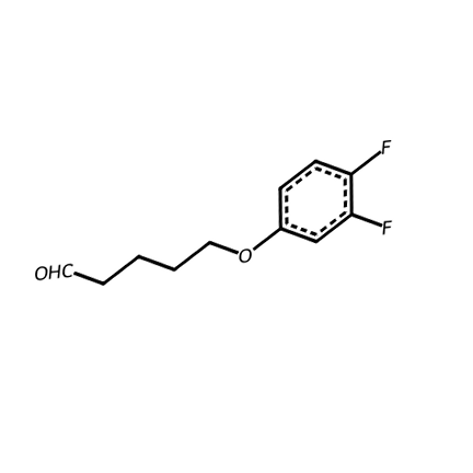 O=CCCCCOc1ccc(F)c(F)c1